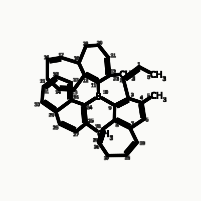 C/C=C\c1c(C)cc2c(c1B(C1=C3C=CCC=CC3CCC=C1C)c1c(C)ccc3ccccc13)C=CCC=C2